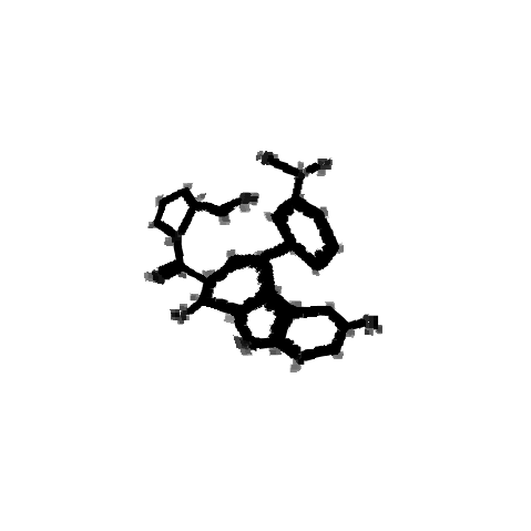 CC[S+]([O-])c1cccc(-c2cc(C(=O)N3CCCC3CO)c(C)c3[nH]c4ncc(C)cc4c23)c1